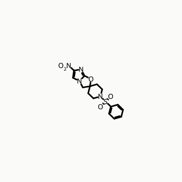 O=[N+]([O-])c1cn2c(n1)OC1(CCN(S(=O)(=O)c3ccccc3)CC1)C2